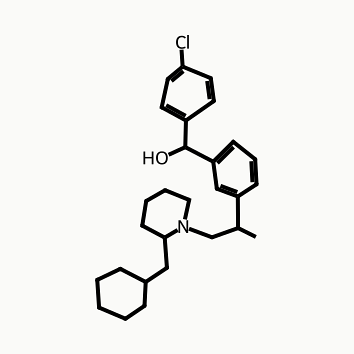 CC(CN1CCCCC1CC1CCCCC1)c1cccc(C(O)c2ccc(Cl)cc2)c1